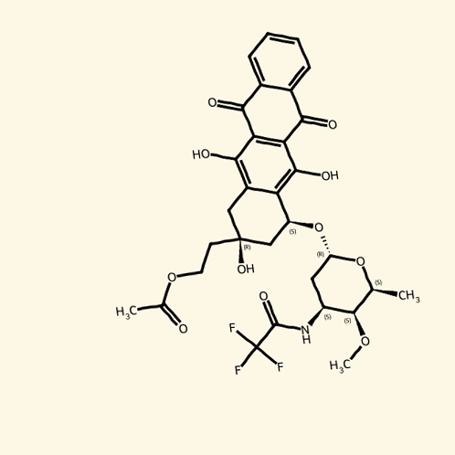 CO[C@H]1[C@@H](NC(=O)C(F)(F)F)C[C@H](O[C@H]2C[C@](O)(CCOC(C)=O)Cc3c(O)c4c(c(O)c32)C(=O)c2ccccc2C4=O)O[C@H]1C